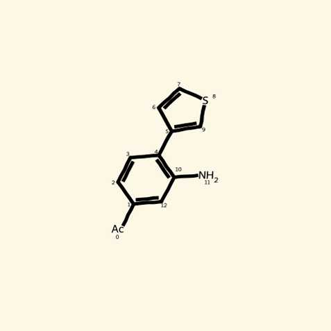 CC(=O)c1ccc(-c2ccsc2)c(N)c1